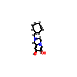 O=c1cc2n(cc1O)CCN(CC1CCCCCCC1)C2